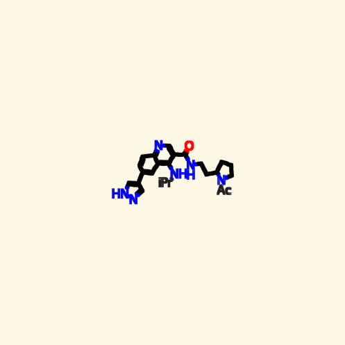 CC(=O)N1CCCC1CCNC(=O)c1cnc2ccc(-c3cn[nH]c3)cc2c1NC(C)C